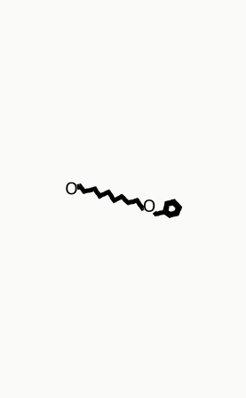 O=CCCCCCCCCCOCc1ccccc1